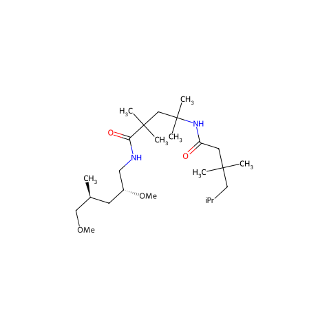 COC[C@@H](C)C[C@H](CNC(=O)C(C)(C)CC(C)(C)NC(=O)CC(C)(C)CC(C)C)OC